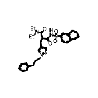 CCN(CC)C(=O)C(Cc1cnn(CCCc2ccccc2)c1)C(=O)NS(=O)(=O)c1ccc2ccccc2c1